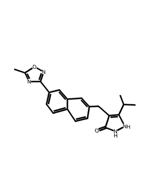 Cc1nc(-c2ccc3ccc(Cc4c(C(C)C)[nH][nH]c4=O)cc3c2)no1